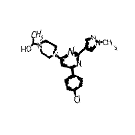 CC(O)N1CCN(c2cc(-c3ccc(Cl)cc3)nc(-c3cnn(C)c3)n2)CC1